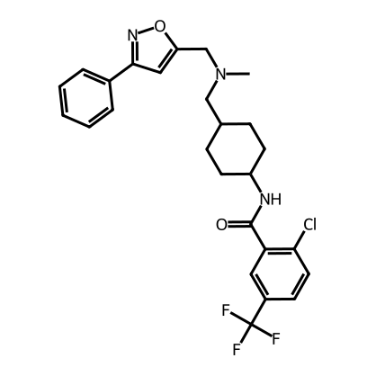 CN(Cc1cc(-c2ccccc2)no1)CC1CCC(NC(=O)c2cc(C(F)(F)F)ccc2Cl)CC1